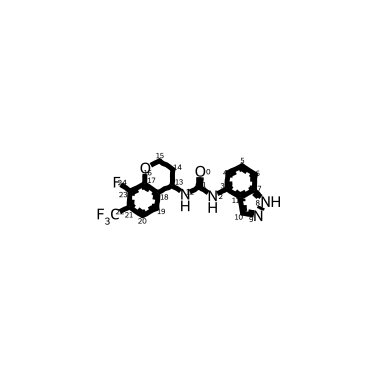 O=C(Nc1cccc2[nH]ncc12)NC1CCOc2c1ccc(C(F)(F)F)c2F